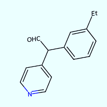 CCc1cccc(C(C=O)c2ccncc2)c1